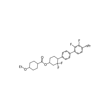 CCCc1ccc(-c2ccc(C3CCC(OC(=O)C4CCC(OCC)CC4)CC3(F)F)cc2)c(F)c1F